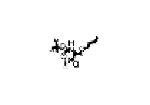 CCCCOC[C@H](NC(=O)OC(C)(C)C)C(=O)OC